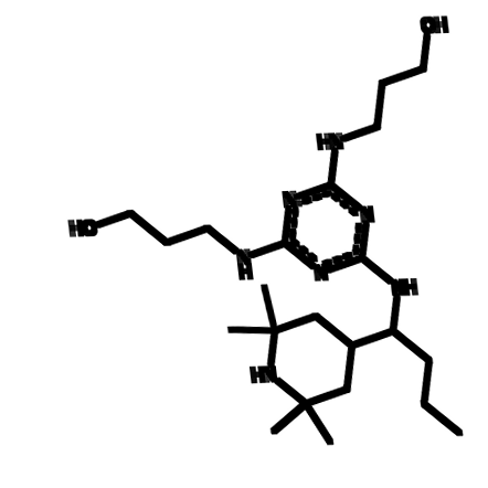 CCCC(Nc1nc(NCCCO)nc(NCCCO)n1)C1CC(C)(C)NC(C)(C)C1